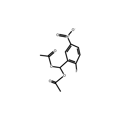 CC(=O)OC(OC(C)=O)c1cc([N+](=O)[O-])ccc1F